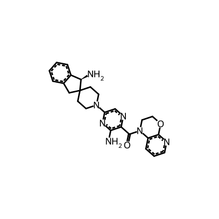 Nc1nc(N2CCC3(CC2)Cc2ccccc2[C@H]3N)cnc1C(=O)N1CCOc2ncccc21